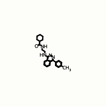 Cc1ccc(-c2nnc(NCCNC(=O)C3CCCCC3)c3ccccc23)cc1